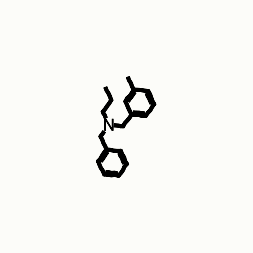 CCCN(Cc1ccccc1)Cc1cccc(C)c1